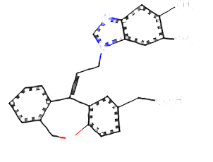 Cc1cc2ncn(CC=C3c4ccccc4COc4ccc(CC(=O)O)cc43)c2cc1C